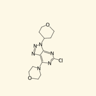 Clc1nc(N2CCOCC2)c2nnn(C3CCOCC3)c2n1